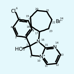 OC1(c2ccc(Cl)cc2)C[n+]2cccnc2N1C1CCCCCC1.[Br-]